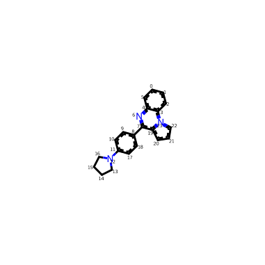 c1ccc2c(c1)nc(-c1ccc(N3CCCC3)cc1)c1cccn12